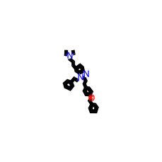 CCN(CC)CCCc1ccc2nc(CCc3ccc(OCc4ccccc4)cc3)n(CCc3ccccc3)c2c1